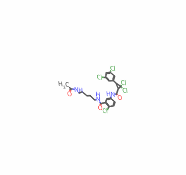 CC(=O)NCCCCCNC(=O)c1cc(NC(=O)C2C(c3cc(Cl)cc(Cl)c3)C2(Cl)Cl)ccc1Cl